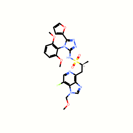 COCn1cnc2c(C[C@H](C)S(=O)(=O)Nc3nnc(-c4ccco4)n3-c3c(OC)cccc3OC)ncc(F)c21